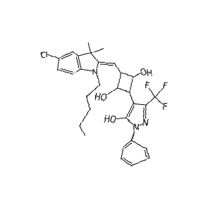 CCCCCN1C(=CC2C(O)C(c3c(C(F)(F)F)nn(-c4ccccc4)c3O)C2O)C(C)(C)c2cc(Cl)ccc21